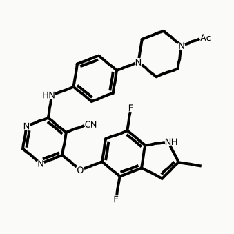 CC(=O)N1CCN(c2ccc(Nc3ncnc(Oc4cc(F)c5[nH]c(C)cc5c4F)c3C#N)cc2)CC1